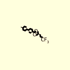 C[C@H]1CC[C@H]([C@H]2CC[C@H]([C@H]3OC[C@H](CCCC(F)(F)F)CO3)CC2)CC1